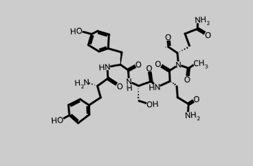 CC(=O)N(C(=O)[C@H](CCC(N)=O)NC(=O)[C@H](CO)NC(=O)[C@H](Cc1ccc(O)cc1)NC(=O)[C@@H](N)Cc1ccc(O)cc1)[C@H]([C]=O)CCC(N)=O